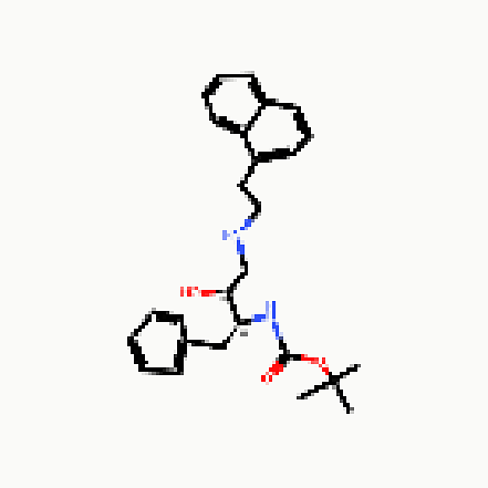 CC(C)(C)OC(=O)N[C@@H](Cc1ccccc1)[C@@H](O)CNCCc1cccc2ccccc12